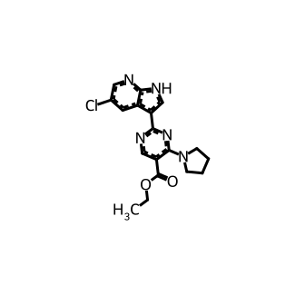 CCOC(=O)c1cnc(-c2c[nH]c3ncc(Cl)cc23)nc1N1CCCC1